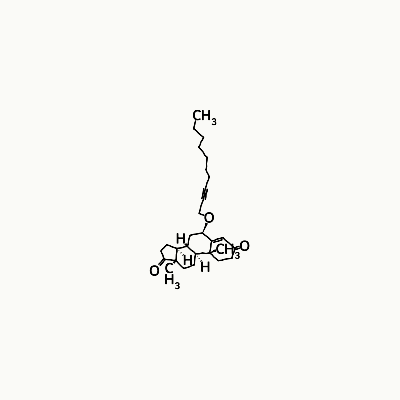 CCCCCCCC#CCO[C@@H]1C[C@@H]2[C@H](CC[C@]3(C)C(=O)CC[C@@H]23)[C@@]2(C)CCC(=O)C=C12